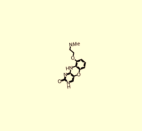 CNCCOc1cccc2c1Nc1nc(=O)[nH]cc1O2